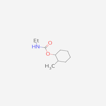 CCNC(=O)OC1CCCCC1C